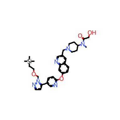 CN(C(=O)CO)C1CCN(Cc2cnc3cc(Oc4ccc(-c5ccnn5COCC[Si](C)(C)C)cn4)ccc3c2)CC1